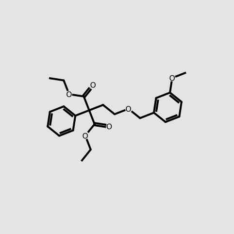 CCOC(=O)C(CCOCc1cccc(OC)c1)(C(=O)OCC)c1ccccc1